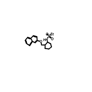 CCS(=O)(=O)NC1CCCCC1COc1ccc2ccccc2c1